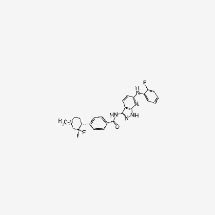 CN1CC[C@H](c2ccc(C(=O)Nc3n[nH]c4nc(Nc5ccccc5F)ccc34)cc2)C(F)(F)C1